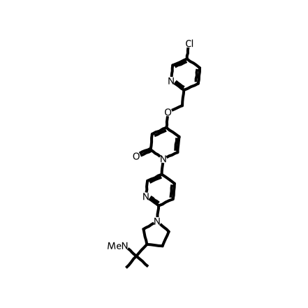 CNC(C)(C)C1CCN(c2ccc(-n3ccc(OCc4ccc(Cl)cn4)cc3=O)cn2)C1